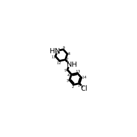 Clc1ccc(CNC2CCNCC2)cc1